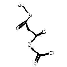 CC(C)(C)OC(=O)C(Cl)OC(=O)Cl